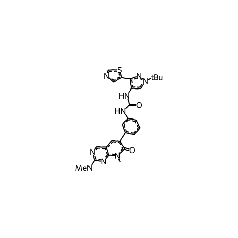 CNc1ncc2cc(-c3cccc(NC(=O)Nc4cn(C(C)(C)C)nc4-c4cncs4)c3)c(=O)n(C)c2n1